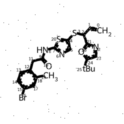 C=CC(Sc1cnc(NC(=O)Cc2ccc(Br)cc2C)s1)c1ncc(C(C)(C)C)o1